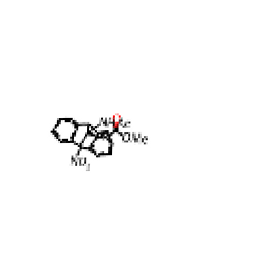 COC(=O)CC1(NC(C)=O)CC2([N+](=O)[O-])c3ccccc3C1c1ccccc12